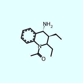 CCC1[C@H](CC)[C@@H](N)c2ccccc2N1C(C)=O